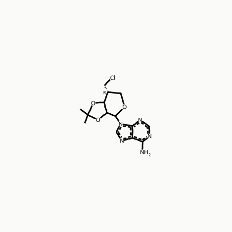 CC1(C)OC2C(O1)[C@H](CCl)COC2n1cnc2c(N)ncnc21